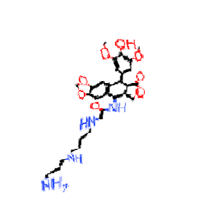 COc1cc(C2c3cc4c(cc3C(NC(=O)CNCCCCNCCCN)C3COC(=O)C23)OCO4)cc(OC)c1O